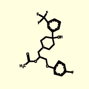 CC(=O)OC(COc1ccc(F)cc1)CN1CCC(O)(c2cccc(C(F)(F)F)c2)CC1